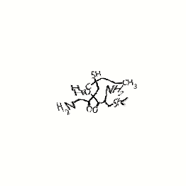 CCCC(C)(S)CC(O)(C(=O)CN)C(=O)C(N)CS